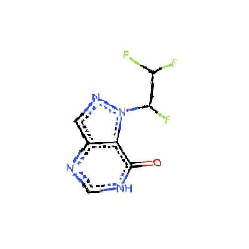 O=c1[nH]cnc2cnn(C(F)C(F)F)c12